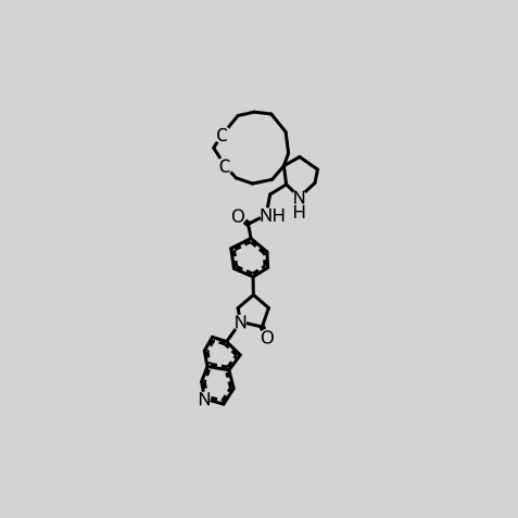 O=C(NCC1NCCCC12CCCCCCCCCCC2)c1ccc(C2CC(=O)N(c3ccc4cnccc4c3)C2)cc1